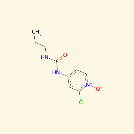 CCCNC(=O)Nc1cc[n+]([O-])c(Cl)c1